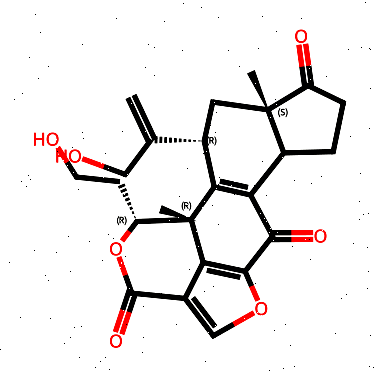 C=C(CO)[C@@H]1C[C@]2(C)C(=O)CCC2C2=C1[C@]1(C)c3c(coc3C2=O)C(=O)O[C@@H]1CCO